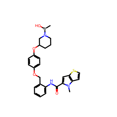 CB(O)N1CCCC(Oc2ccc(OCc3ccccc3NC(=O)c3cc4sccc4n3C)cc2)C1